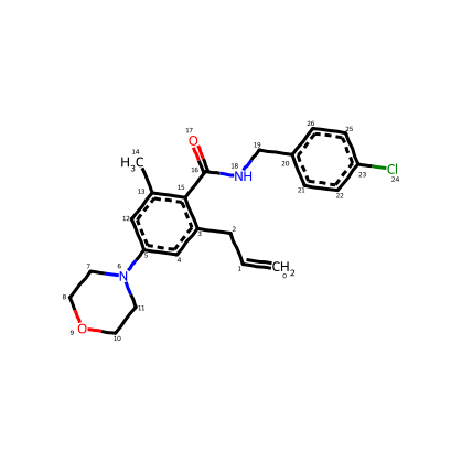 C=CCc1cc(N2CCOCC2)cc(C)c1C(=O)NCc1ccc(Cl)cc1